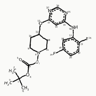 CC(C)(C)OC(=O)ON1CCC(Oc2cc(Nc3cc(F)ccc3F)ncn2)CC1